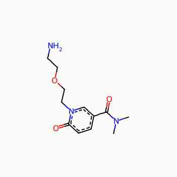 CN(C)C(=O)c1ccc(=O)n(CCOCCN)c1